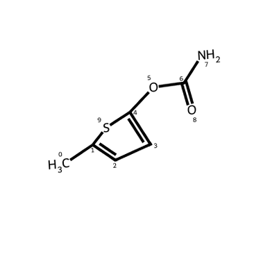 Cc1ccc(OC(N)=O)s1